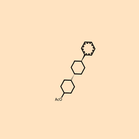 CC(=O)OC1CCC([C@H]2CC[C@H](c3ccccc3)CC2)CC1